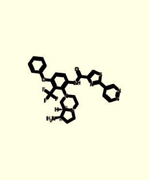 N[C@@H]1CCN2CCN(c3c(NC(=O)c4csc(-c5ccnnc5)n4)ccc(Oc4ccccc4)c3C(F)(F)F)C[C@H]12